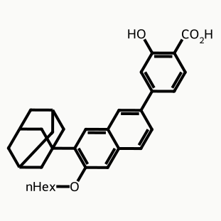 CCCCCCOc1cc2ccc(-c3ccc(C(=O)O)c(O)c3)cc2cc1C12CC3CC(CC(C3)C1)C2